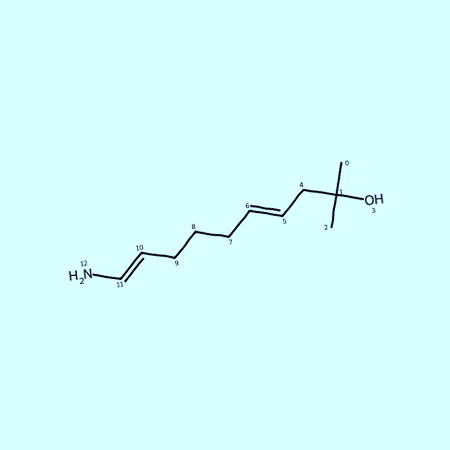 CC(C)(O)CC=CCCCC=CN